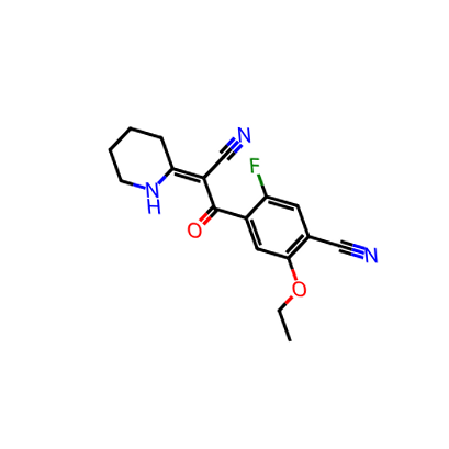 CCOc1cc(C(=O)C(C#N)=C2CCCCN2)c(F)cc1C#N